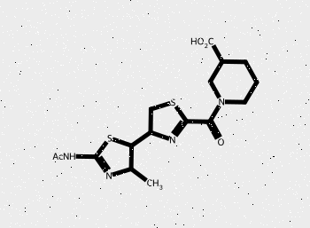 CC(=O)NC1=NC(C)C(C2CSC(C(=O)N3CCCC(C(=O)O)C3)=N2)S1